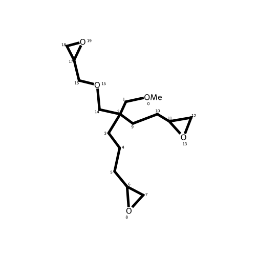 COCC(CCCC1CO1)(CCC1CO1)COCC1CO1